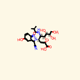 CC(C)C(=O)N[C@H]1[C@H]([C@H](O)[C@H](O)CO)OC(C(=O)O)=C[C@@H]1n1nc2ccc(O)cc2c1C#N